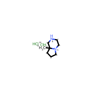 CC12CCCN1CCNC2.Cl.Cl